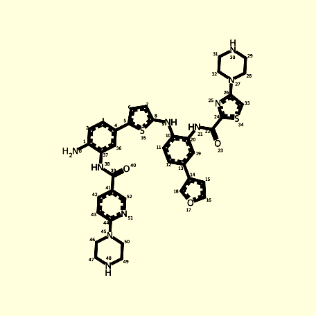 Nc1ccc(-c2ccc(Nc3ccc(-c4ccoc4)cc3NC(=O)c3nc(N4CCNCC4)cs3)s2)cc1NC(=O)c1ccc(N2CCNCC2)nc1